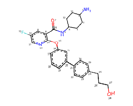 NC1CCC(NC(=O)c2cc(F)cnc2Oc2cccc(-c3ccc(CCCO)cc3)c2)CC1